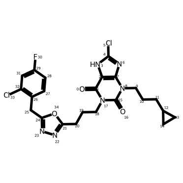 O=c1c2[nH]c(Cl)nc2n(CCCC2CC2)c(=O)n1CCCc1nnc(Cc2ccc(F)cc2Cl)o1